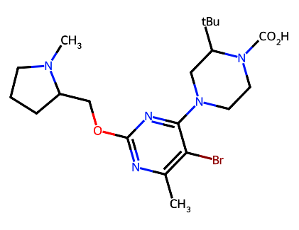 Cc1nc(OCC2CCCN2C)nc(N2CCN(C(=O)O)C(C(C)(C)C)C2)c1Br